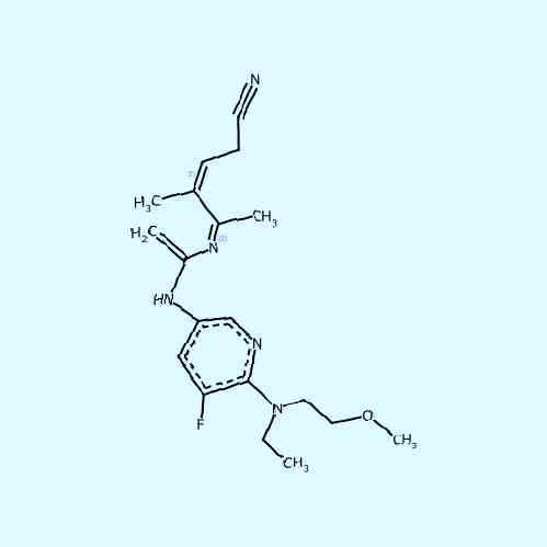 C=C(/N=C(C)\C(C)=C/CC#N)Nc1cnc(N(CC)CCOC)c(F)c1